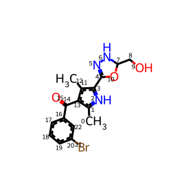 Cc1[nH]c(C2=NNC(CO)O2)c(C)c1C(=O)c1cccc(Br)c1